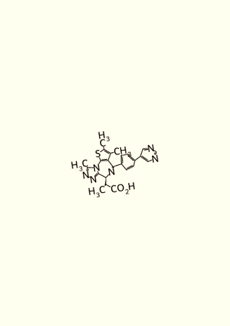 Cc1sc2c(c1C)C(c1ccc(-c3cncnc3)cc1)=N[C@@H](C(C)C(=O)O)c1nnc(C)n1-2